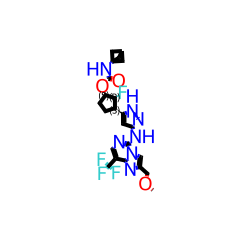 COCc1cn2c(Nc3cc([C@@H]4CC[C@H](OC(=O)NC56CC(C5)C6)[C@@H]4F)[nH]n3)ncc(C(F)(F)F)c2n1